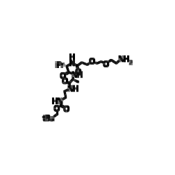 CC(C)[C@H](NC(=O)CCOCCOCCN)C(=O)N[C@@H](C)C(=O)NCCNC(=O)OCC(C)(C)C